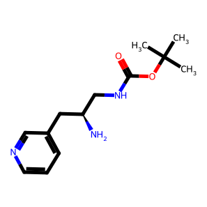 CC(C)(C)OC(=O)NC[C@@H](N)Cc1cccnc1